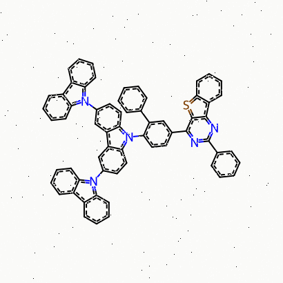 c1ccc(-c2nc(-c3ccc(-n4c5ccc(-n6c7ccccc7c7ccccc76)cc5c5cc(-n6c7ccccc7c7ccccc76)ccc54)c(-c4ccccc4)c3)c3sc4ccccc4c3n2)cc1